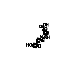 O=C(O)c1cc2cc(Nc3nc4ccc(-c5cc(O)ccc5Cl)cn4n3)ccc2o1